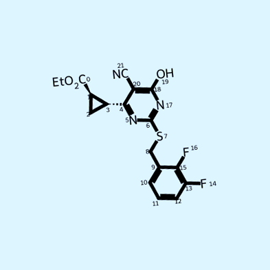 CCOC(=O)[C@@H]1C[C@H]1c1nc(SCc2cccc(F)c2F)nc(O)c1C#N